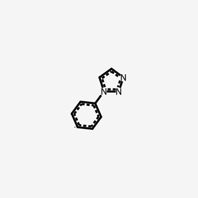 [c]1ccc(-n2ccnn2)cc1